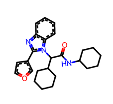 O=C(NC1CCCCC1)C(C1CCCCC1)n1c(-c2ccoc2)nc2ccccc21